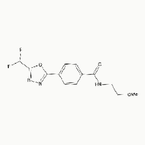 COCCNC(=O)c1ccc(-c2nnc(C(F)F)o2)cc1